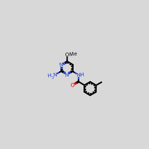 COc1cc(NC(=O)c2cccc(C)c2)nc(N)n1